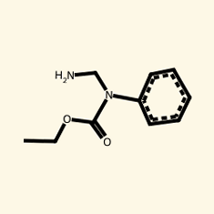 CCOC(=O)N(CN)c1ccccc1